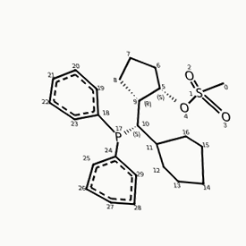 CS(=O)(=O)O[C@H]1CCC[C@H]1[C@H](C1CCCCC1)P(c1ccccc1)c1ccccc1